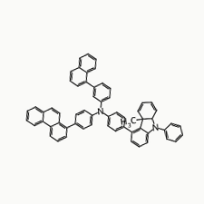 CC12C=CC=CC1N(c1ccccc1)c1cccc(-c3ccc(N(c4ccc(-c5cccc6c5ccc5ccccc56)cc4)c4cccc(-c5cccc6ccccc56)c4)cc3)c12